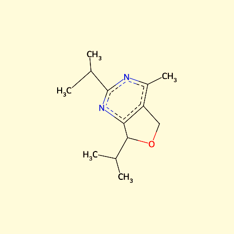 Cc1nc(C(C)C)nc2c1COC2C(C)C